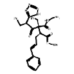 CC(C)CC(C(=O)[C@](CC(C)C)(C(=O)NN)[C@H](C/C=C/c1ccccc1)C(=O)OC(C)(C)C)c1nnn[nH]1